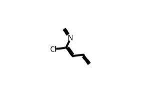 C=C/C=C(/Cl)N=C